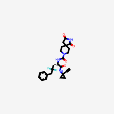 C#CC1(NC(=O)[C@H](CC(F)(F)Cc2ccccc2)NC(=O)N2CCC3(CC2)CC(=O)NC3=O)CC1